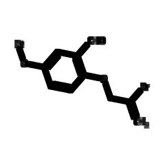 C=C(Br)COc1ccc(OCC)cc1C=O